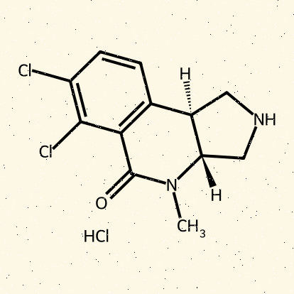 CN1C(=O)c2c(ccc(Cl)c2Cl)[C@H]2CNC[C@@H]21.Cl